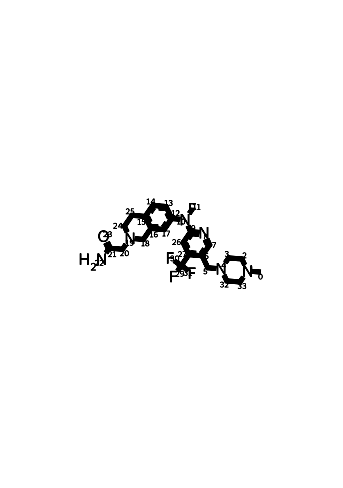 CN1CCN(Cc2cnc(N(F)c3ccc4c(c3)CN(CC(N)=O)CC4)cc2C(F)(F)F)CC1